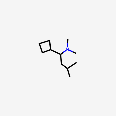 CC(C)CC(C1[CH]CC1)N(C)C